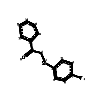 O=C(C[Se]c1ccc(F)cc1)c1ccccc1